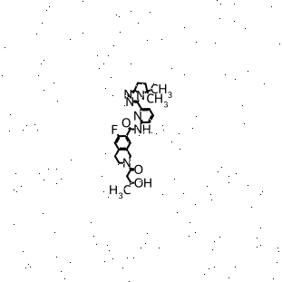 C[C@H](O)CC(=O)N1CCc2cc(F)c(C(=O)Nc3cccc(-c4nnc5n4C(C)(C)CC5)n3)cc2C1